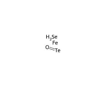 O=[Te].[Fe].[SeH2]